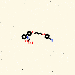 N#Cc1ccc(OCCCCCOc2ccc3c4ccccc4n(CC(=O)O)c3c2)cc1